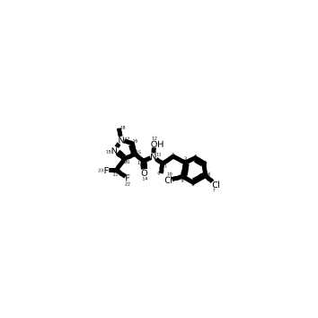 CC(Cc1ccc(Cl)cc1Cl)N(O)C(=O)c1cn(C)nc1C(F)F